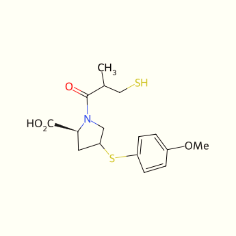 COc1ccc(SC2C[C@@H](C(=O)O)N(C(=O)C(C)CS)C2)cc1